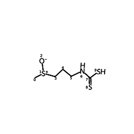 C[S+]([O-])CCCNC(=S)S